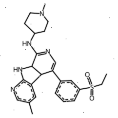 CCS(=O)(=O)c1cccc(C2=CN=C(NC3CCN(C)CC3)C3Nc4ncc(C)cc4C23)c1